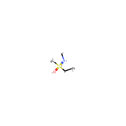 CN=S(=O)(CC(C)C)C(C)C